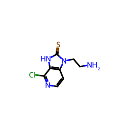 NCCn1c(=S)[nH]c2c(Cl)nccc21